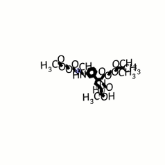 CC(=O)OCOC(=O)/N=C(\C)Nc1cccc(C2=C(C(=O)OCOC(=O)C(C)(C)C)N3C(=O)[C@H]([C@@H](C)O)[C@H]3C2)c1